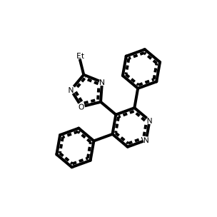 CCc1noc(-c2c(-c3ccccc3)cnnc2-c2ccccc2)n1